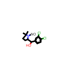 CC1(C)CCC(C(O)c2ccc(Cl)c(Cl)c2)N1N=O